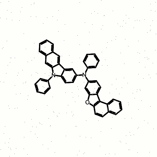 c1ccc(N(c2ccc3c(c2)oc2ccc4ccccc4c23)c2ccc3c(c2)c2cc4ccccc4cc2n3-c2ccccc2)cc1